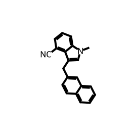 Cn1cc(Cc2ccc3ccccc3c2)c2c(C#N)cccc21